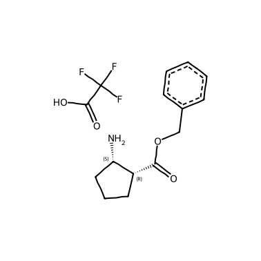 N[C@H]1CCC[C@H]1C(=O)OCc1ccccc1.O=C(O)C(F)(F)F